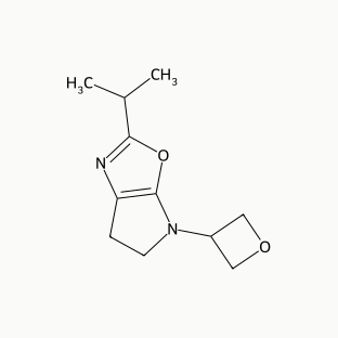 CC(C)c1nc2c(o1)N(C1COC1)CC2